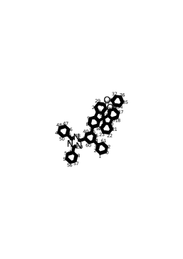 c1ccc(-c2cc(-c3ccc4c(c3)C3(c5ccccc5-c5ccccc53)c3c-4ccc4c3Oc3ccccc3O4)cc(-c3nc(-c4ccccc4)nc(-c4ccccc4)n3)c2)cc1